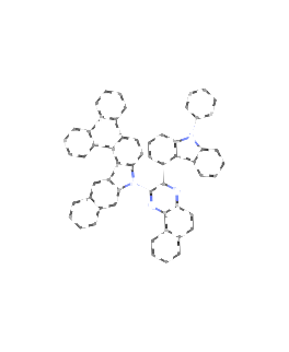 c1ccc(-n2c3ccccc3c3c(-c4nc5ccc6ccccc6c5nc4-n4c5cc6ccccc6cc5c5c6c7ccccc7c7ccccc7c6ccc54)cccc32)cc1